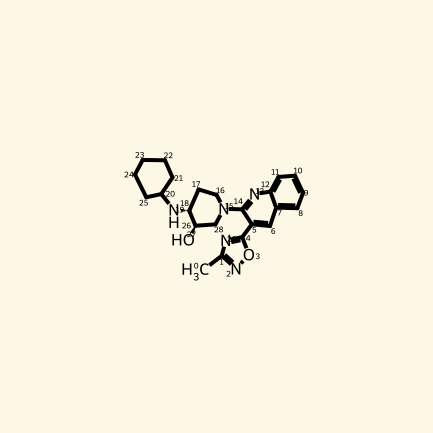 Cc1noc(-c2cc3ccccc3nc2N2CC[C@@H](NC3CCCCC3)[C@H](O)C2)n1